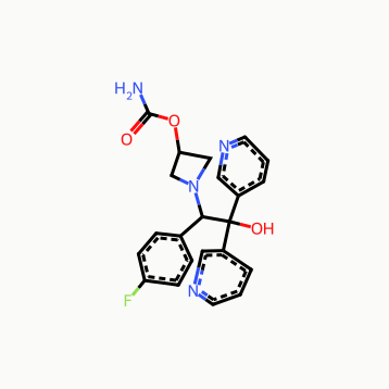 NC(=O)OC1CN(C(c2ccc(F)cc2)C(O)(c2cccnc2)c2cccnc2)C1